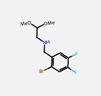 COC(CNCc1cc(F)c(F)cc1Br)OC